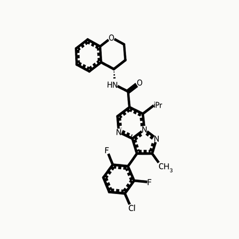 Cc1nn2c(C(C)C)c(C(=O)N[C@H]3CCOc4ccccc43)cnc2c1-c1c(F)ccc(Cl)c1F